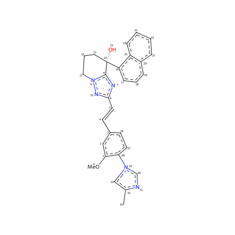 COc1cc(/C=C/c2nc3n(n2)CCC[C@@]3(O)c2cccc3ccccc23)ccc1-n1cnc(C)c1